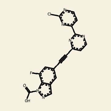 O=C(O)n1ncc2cc(C#Cc3ccnc(-c4ccnc(Cl)n4)n3)cc(F)c21